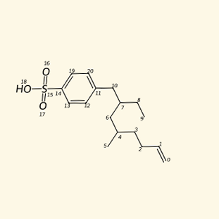 C=CCCC(C)CC(CC)Cc1ccc(S(=O)(=O)O)cc1